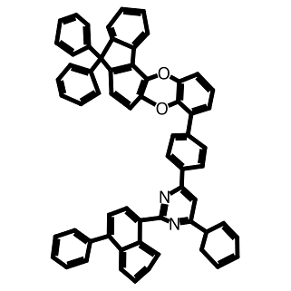 C1=CCC(c2cc(-c3ccc(-c4cccc5c4Oc4ccc6c(c4O5)-c4ccccc4C6(c4ccccc4)c4ccccc4)cc3)nc(-c3ccc(-c4ccccc4)c4ccccc34)n2)C=C1